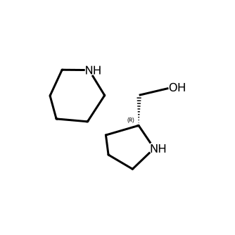 C1CCNCC1.OC[C@H]1CCCN1